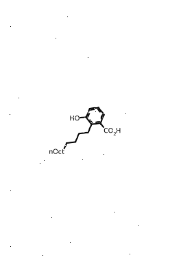 CCCCCCCCCCCCc1c(O)cccc1C(=O)O